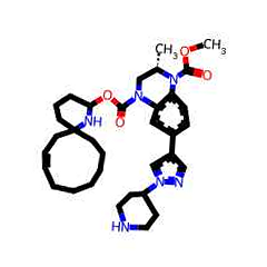 COC(=O)N1c2ccc(-c3cnn(C4CCNCC4)c3)cc2N(C(=O)OC2CCCC3(C/C=C\CCCCCC3)N2)C[C@@H]1C